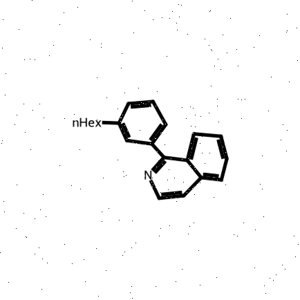 CCCCCCc1cccc(-c2nccc3ccccc23)c1